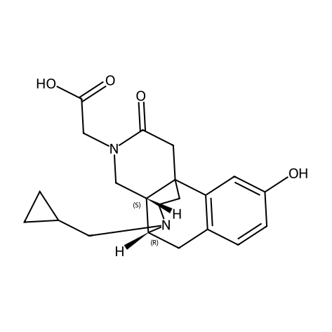 O=C(O)CN1C[C@H]2[C@H]3Cc4ccc(O)cc4C2(CCN3CC2CC2)CC1=O